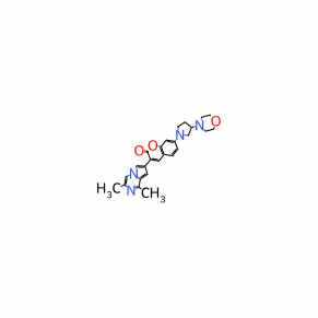 Cc1cn2cc(-c3cc4ccc(N5CCC(N6CCOCC6)C5)cc4oc3=O)cc2c(C)n1